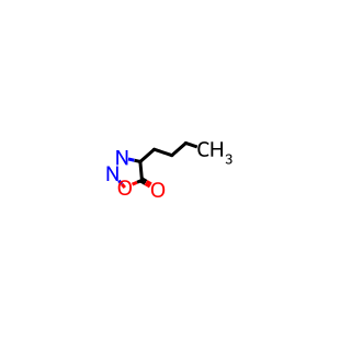 CCCCC1N=NOC1=O